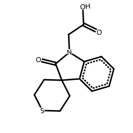 O=C(O)CN1C(=O)C2(CCSCC2)c2ccccc21